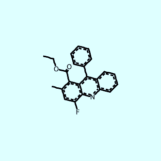 CCOC(=O)c1c(C)cc(F)c2nc3ccccc3c(-c3ccccc3)c12